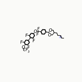 C/C=C/CCC1COC(c2ccc(C(F)(F)Oc3cc(F)c(-c4cc(F)c(OC(F)(F)F)c(F)c4)c(F)c3)cc2)OC1